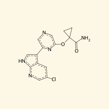 NC(=O)C1(Oc2cncc(-c3c[nH]c4ncc(Cl)cc34)n2)CC1